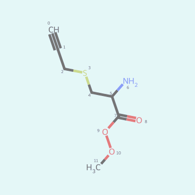 C#CCSCC(N)C(=O)OOC